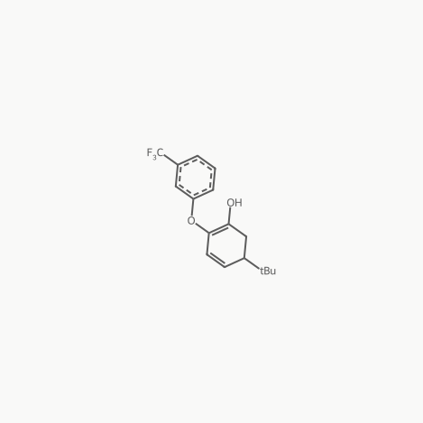 CC(C)(C)C1C=CC(Oc2cccc(C(F)(F)F)c2)=C(O)C1